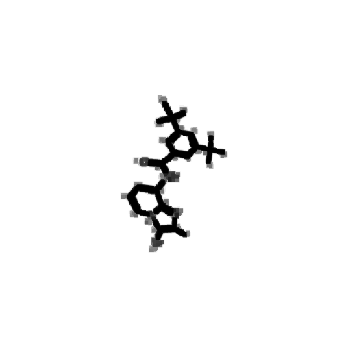 Cc1nc2c(NC(=O)c3cc(C(C)(C)C)cc(C(C)(C)C)c3)cccn2c1Br